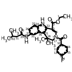 CCOC(=O)C1=CN(C(=O)c2ccc(F)cc2)CC(C)(C)c2c1[nH]c1ccc(NC(=O)CC(C)C)cc21